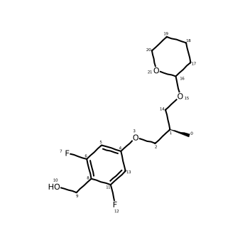 C[C@@H](COc1cc(F)c(CO)c(F)c1)COC1CCCCO1